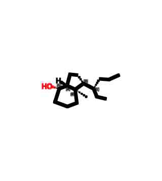 CCC[C@H](CC)[C@H]1CC[C@H]2[C@@H](O)CCC[C@]12C